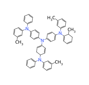 Cc1cccc(N(C2=CC=CCC2C)c2ccc(N(C3=CCC(N(c4ccccc4)c4cccc(C)c4)C=C3)c3ccc(N(c4ccccc4)c4cccc(C)c4)cc3)cc2)c1